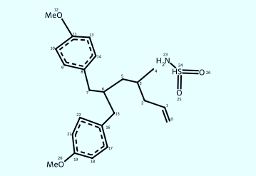 C=CCC(C)CC(Cc1ccc(OC)cc1)Cc1ccc(OC)cc1.N[SH](=O)=O